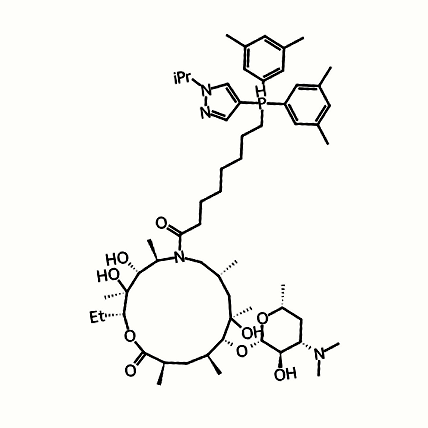 CC[C@H]1OC(=O)[C@H](C)C[C@H](C)[C@@H](O[C@@H]2O[C@H](C)C[C@H](N(C)C)[C@H]2O)[C@](C)(O)C[C@@H](C)CN(C(=O)CCCCCCC[PH](c2cc(C)cc(C)c2)(c2cc(C)cc(C)c2)c2cnn(C(C)C)c2)[C@H](C)[C@@H](O)[C@]1(C)O